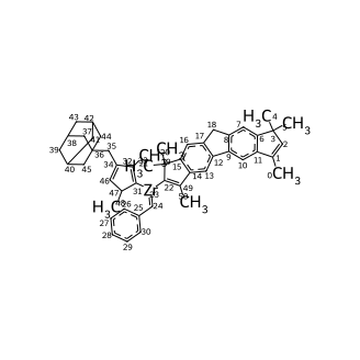 CC1=CC(C)(C)c2cc3c(cc21)-c1cc2c(cc1C3)C(C)(C)[C]([Zr](=[CH]c1ccccc1)[C]1=C(C)C(CC34CC5CC(CC(C5)C3)C4)=CC1C)=C2C